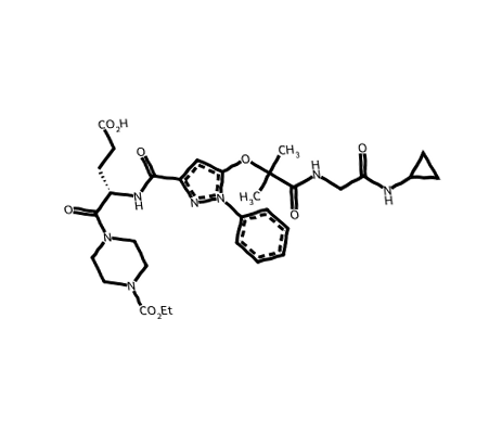 CCOC(=O)N1CCN(C(=O)[C@H](CCC(=O)O)NC(=O)c2cc(OC(C)(C)C(=O)NCC(=O)NC3CC3)n(-c3ccccc3)n2)CC1